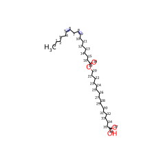 CCCCC/C=C\C/C=C\CCCCCCCC(=O)OCCCCCCCCCCCCCCCCC(=O)O